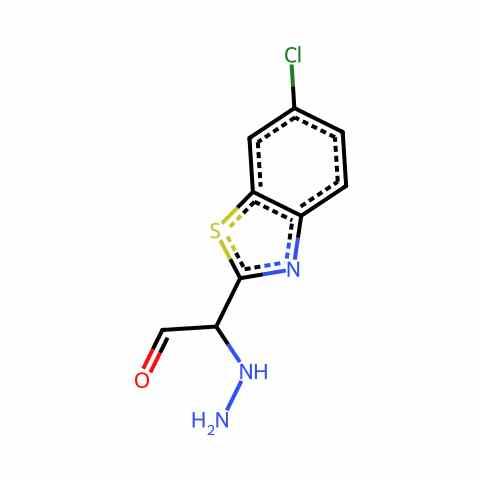 NNC(C=O)c1nc2ccc(Cl)cc2s1